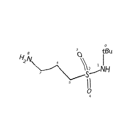 CC(C)(C)NS(=O)(=O)CCCN